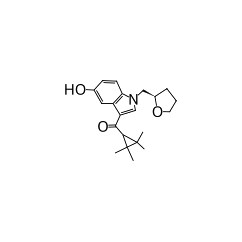 CC1(C)C(C(=O)c2cn(C[C@H]3CCCO3)c3ccc(O)cc23)C1(C)C